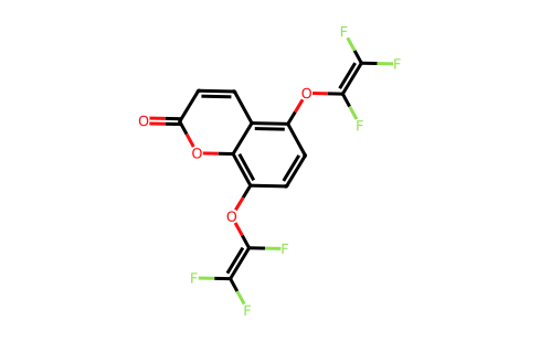 O=c1ccc2c(OC(F)=C(F)F)ccc(OC(F)=C(F)F)c2o1